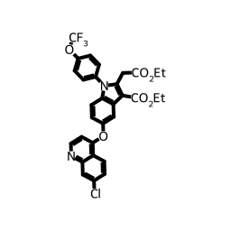 CCOC(=O)Cc1c(C(=O)OCC)c2cc(Oc3ccnc4cc(Cl)ccc34)ccc2n1-c1ccc(OC(F)(F)F)cc1